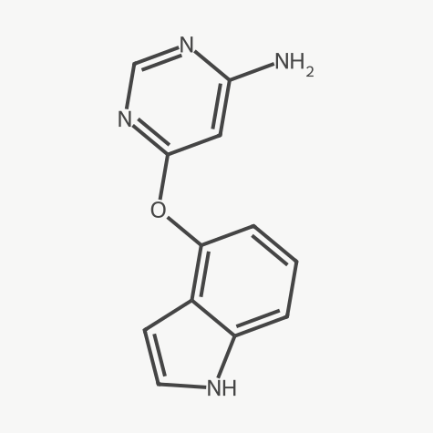 Nc1cc(Oc2cccc3[nH]ccc23)ncn1